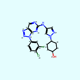 O[C@H]1CC[C@@H](n2cc(Nc3ncc4nnn(-c5ccc(Cl)c(F)c5)c4n3)cn2)CC1